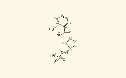 CCCS(=O)(=O)ON=C1C=CC(=CC(C#N)c2ccccc2C)S1